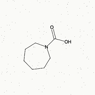 O=C(O)N1CCCCCC1